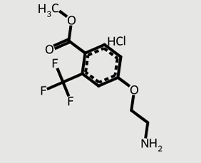 COC(=O)c1ccc(OCCN)cc1C(F)(F)F.Cl